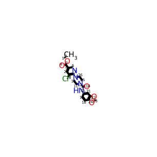 CCOC(=O)c1cnc(N2CCN(C(=O)Nc3ccc4c(c3)OCO4)CC2)c(Cl)c1